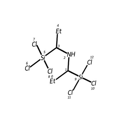 CCC(NC(CC)[Si](Cl)(Cl)Cl)[Si](Cl)(Cl)Cl